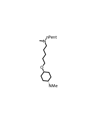 CCCCCN(C)CCCCCO[C@H]1CC[C@H](NC)CC1